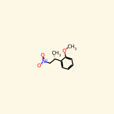 COc1ccccc1[C@@H](C)C[N+](=O)[O-]